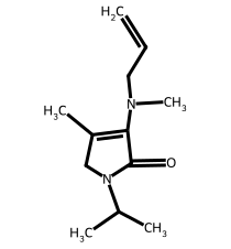 C=CCN(C)C1=C(C)CN(C(C)C)C1=O